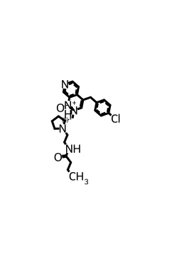 CCCC(=O)NCCN1CCC[C@@H]1CN1C=C(Cc2ccc(Cl)cc2)c2ccncc2[NH+]1[O-]